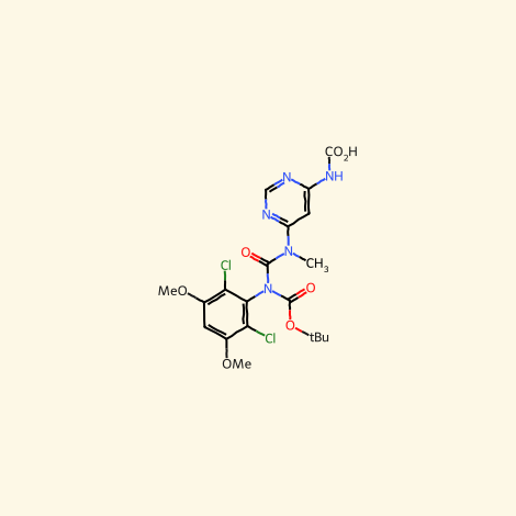 COc1cc(OC)c(Cl)c(N(C(=O)OC(C)(C)C)C(=O)N(C)c2cc(NC(=O)O)ncn2)c1Cl